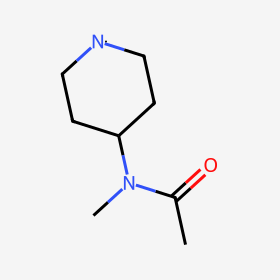 CC(=O)N(C)C1CC[N]CC1